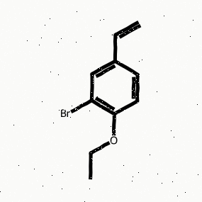 C=[C]c1ccc(OCC)c(Br)c1